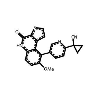 COc1ccc2[nH]c(=O)c3sccc3c2c1-c1ccc(C2(C#N)CC2)nc1